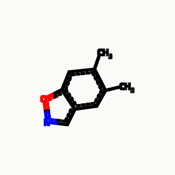 Cc1cc2cnoc2cc1C